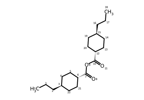 CCC[C@H]1CC[C@H](C(=O)OC(=O)[C@H]2CC[C@H](CCC)CC2)CC1